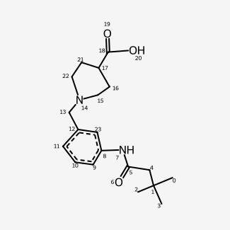 CC(C)(C)CC(=O)Nc1cccc(CN2CCC(C(=O)O)CC2)c1